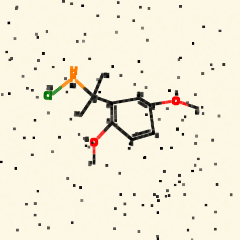 COc1ccc(OC)c(C(C)(C)PCl)c1